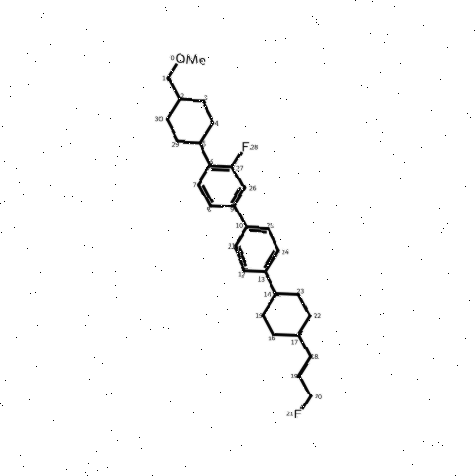 COCC1CCC(c2ccc(-c3ccc(C4CCC(CCCF)CC4)cc3)cc2F)CC1